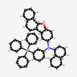 c1ccc([Si](c2ccccc2)(c2ccccc2)c2cccc(N(c3ccc4oc5c6ccccc6ccc5c4c3)c3cccc4ccccc34)c2)cc1